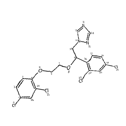 Clc1ccc(OCCOC(Cn2cncn2)c2ccc(Cl)cc2Cl)c(Cl)c1